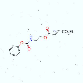 CCOC(=O)/C=C/C(=O)OCCNC(=O)Oc1ccccc1